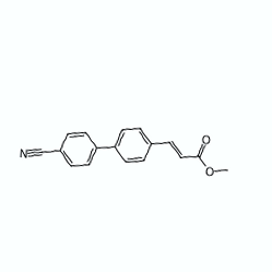 COC(=O)/C=C/c1ccc(-c2ccc(C#N)cc2)cc1